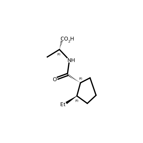 CC[C@@H]1CCC[C@H]1C(=O)N[C@H](C)C(=O)O